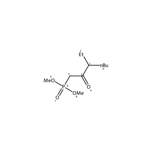 CCCCC(CC)C(=O)CP(=O)(OC)OC